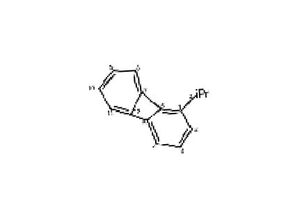 C[C](C)c1cccc2c1-c1ccccc1-2